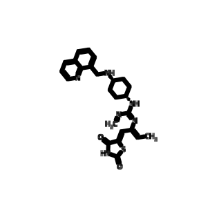 C=N\C(=N/C(=C\C)/C=C1\SC(=O)NC1=O)N[C@H]1CC[C@H](NCc2cccc3cccnc23)CC1